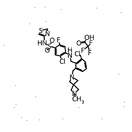 CN1CC2(C1)CN(Cc1cccc(Cl)c1CNc1cc(F)c(S(=O)(=O)Nc3cscn3)cc1Cl)C2.O=C(O)C(F)(F)F